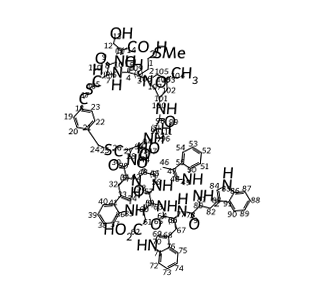 CSCC[C@H]1C(=O)N[C@H](C(=O)N[C@@H](CO)C(=O)O)CSCc2ccc(cc2)CSCC(NC(=O)[C@H](Cc2c[nH]c3ccccc23)NC(=O)[C@H](Cc2c[nH]c3ccccc23)NC(=O)[C@H](CCC(=O)O)NC(=O)[C@H](Cc2c[nH]c3ccccc23)NC(=O)C(N)Cc2c[nH]c3ccccc23)C(=O)N[C@@H](CO)C(=O)NC2CC(C)CN1C2=O